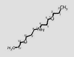 CCCOCCCNCCCOCCC